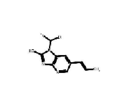 C/C=C/c1cnc2nc(O)n(C(CC)CC)c2c1